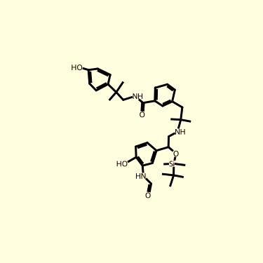 CC(C)(Cc1cccc(C(=O)NCC(C)(C)c2ccc(O)cc2)c1)NCC(O[Si](C)(C)C(C)(C)C)c1ccc(O)c(NC=O)c1